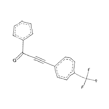 O=C(C#Cc1ccc(C(F)(F)F)cc1)c1ccccc1